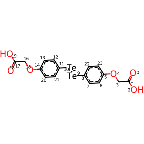 O=C(O)COc1ccc([Te][Te]c2ccc(OCC(=O)O)cc2)cc1